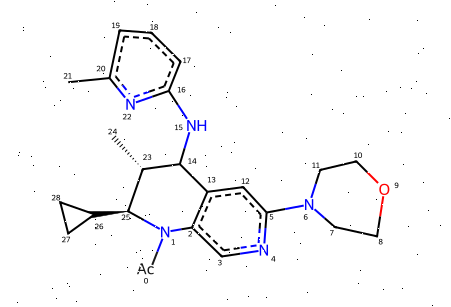 CC(=O)N1c2cnc(N3CCOCC3)cc2C(Nc2cccc(C)n2)[C@@H](C)[C@@H]1C1CC1